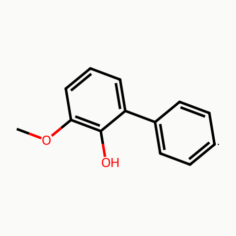 COc1cccc(-c2cc[c]cc2)c1O